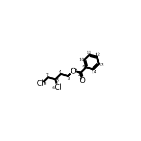 O=C(OCCC(Cl)CCl)c1ccccc1